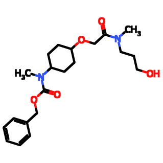 CN(CCCO)C(=O)COC1CCC(N(C)C(=O)OCc2ccccc2)CC1